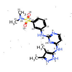 Cc1n[nH]c(Nc2ccnc(Nc3cccc(S(=O)(=O)N(C)C)c3)n2)c1C